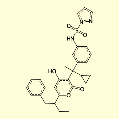 CCC(Cc1ccccc1)c1cc(O)c(C(C)(c2cccc(NS(=O)(=O)n3cccn3)c2)C2CC2)c(=O)o1